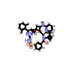 Cc1cccc(C)c1-c1cc2nc(n1)NS(=O)(=O)c1cccc(c1)C(=O)N(C13CC(C1)C3c1cccc(N(C)C3CC4(CC4)C3)n1)[C@H](CC(C)C)CO2